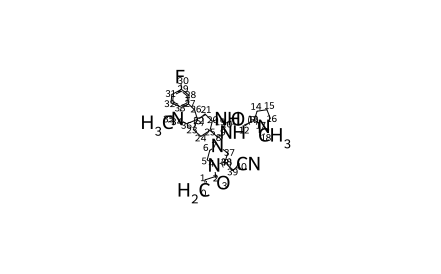 C=CC(=O)N1CCN(C2NC(OC[C@H]3CCCN3C)NC3C[C@]4(CCC32)Cc2cc(F)ccc2N(C)C4)C[C@H]1CC#N